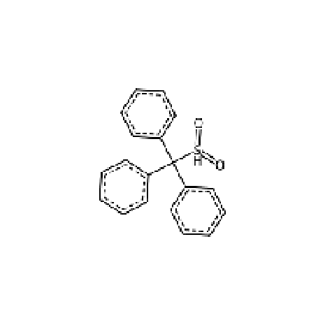 O=[SH](=O)C(c1ccccc1)(c1ccccc1)c1ccccc1